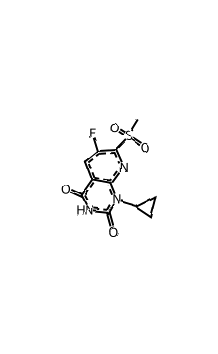 CS(=O)(=O)c1nc2c(cc1F)c(=O)[nH]c(=O)n2C1CC1